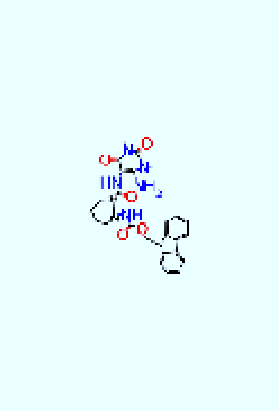 Cn1c(N)c(NC(=O)[C@H]2CCCC[C@@H]2NC(=O)OCC2c3ccccc3-c3ccccc32)c(=O)n(C)c1=O